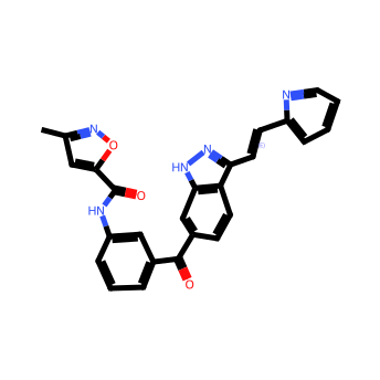 Cc1cc(C(=O)Nc2cccc(C(=O)c3ccc4c(/C=C/c5ccccn5)n[nH]c4c3)c2)on1